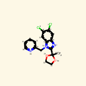 FC(F)(F)C1(c2nc3cc(Cl)c(Cl)cc3n2Cc2ccccn2)OCCO1